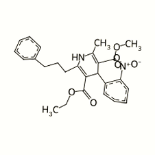 CCOC(=O)C1=C(CCCc2ccccc2)NC(C)=C(C(=O)OC)C1c1ccccc1[N+](=O)[O-]